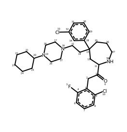 O=C(Cc1c(F)cccc1Cl)C1CC(CCN2CCN(C3CCCCC3)CC2)(c2cccc(Cl)c2)CCCN1